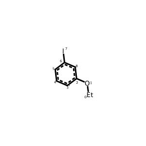 CCOc1[c]ccc(I)c1